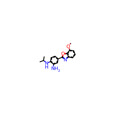 COc1cccc2nc(-c3ccc(NC(C)C)c(N)c3)oc12